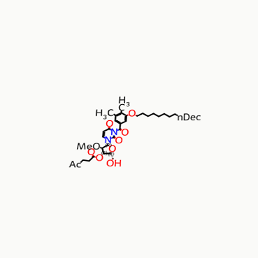 CCCCCCCCCCCCCCCCCCOc1cc(C(=O)n2c(=O)ccn([C@@H]3O[C@H](CO)[C@H](OC(=O)CCC(C)=O)C3OC)c2=O)cc(C)c1C